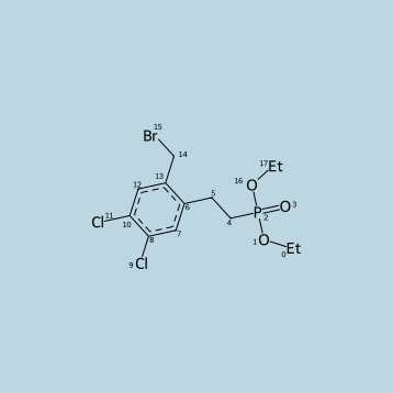 CCOP(=O)(CCc1cc(Cl)c(Cl)cc1CBr)OCC